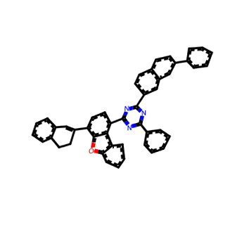 C1=C(c2ccc(-c3nc(-c4ccccc4)nc(-c4ccc5ccc(-c6ccccc6)cc5c4)n3)c3c2oc2ccccc23)CCc2ccccc21